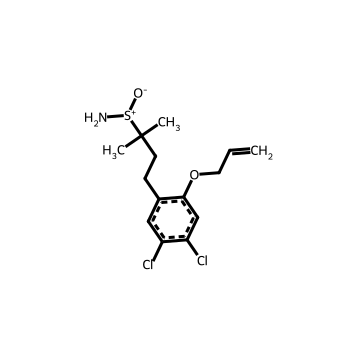 C=CCOc1cc(Cl)c(Cl)cc1CCC(C)(C)[S+](N)[O-]